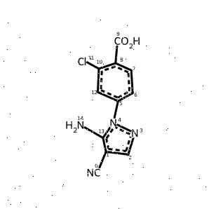 N#Cc1cnn(-c2ccc(C(=O)O)c(Cl)c2)c1N